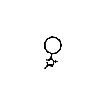 Cc1c[nH]c(C2CCCCCCCCCC2)p1